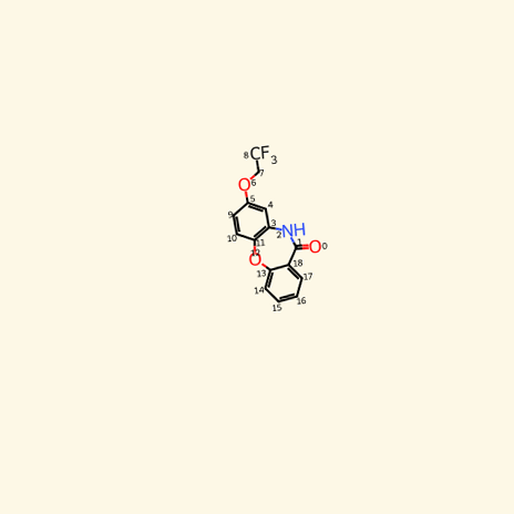 O=C1Nc2cc(OCC(F)(F)F)ccc2Oc2ccccc21